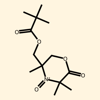 CC(C)(C)C(=O)OCC1(C)COC(=O)C(C)(C)[N+]1=O